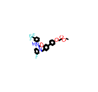 CCOC(=O)COc1ccc(-c2ccc(CN(C(=O)Nc3cccc(C(F)(F)F)c3)c3cccc(F)c3)cc2)cc1